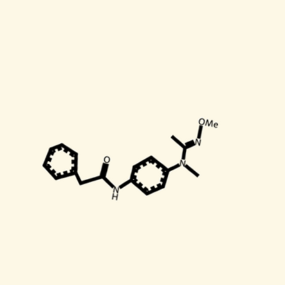 CO/N=C(\C)N(C)c1ccc(NC(=O)Cc2ccccc2)cc1